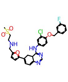 CS(=O)(=O)CCNCc1ccc(C2=CC=C3N=CN=C(Nc4ccc(OCc5cccc(F)c5)c(Cl)c4)C3C2)o1